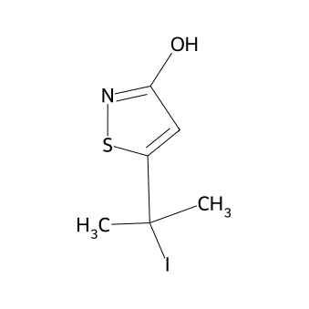 CC(C)(I)c1cc(O)ns1